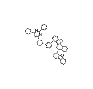 c1ccc(-c2nc(-c3ccccc3)nc(-c3cccc(-c4cccc(-c5cccc6oc7c8ccccc8c(-c8cccc9c8oc8ccccc89)cc7c56)c4)c3)n2)cc1